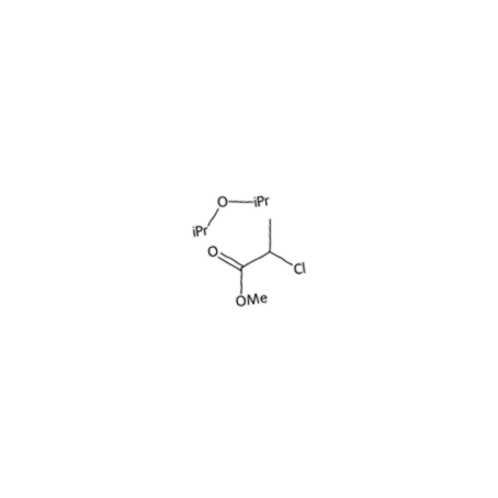 CC(C)OC(C)C.COC(=O)C(C)Cl